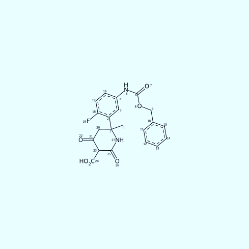 CC1(c2cc(NC(=O)OCc3ccccc3)ccc2F)CC(=O)C(C(=O)O)C(=O)N1